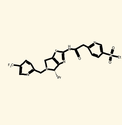 CCS(=O)(=O)c1ccc(CC(=O)Nc2nc3c(s2)CN(Cc2ccc(C(F)(F)F)cn2)[C@H]3C(C)C)nc1